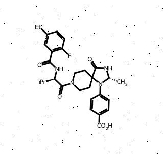 CCc1ccc(F)c(C(=O)N[C@@H](C(=O)N2CCC3(CC2)C(=O)N[C@H](C)N3c2ccc(C(=O)O)cc2)C(C)C)c1